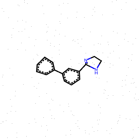 c1ccc(-c2cccc(C3=NCCN3)c2)cc1